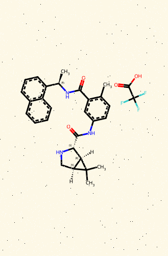 Cc1ccc(NC(=O)[C@H]2NC[C@H]3[C@@H]2C3(C)C)cc1C(=O)N[C@H](C)c1cccc2ccccc12.O=C(O)C(F)(F)F